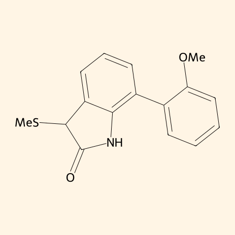 COc1ccccc1-c1cccc2c1NC(=O)C2SC